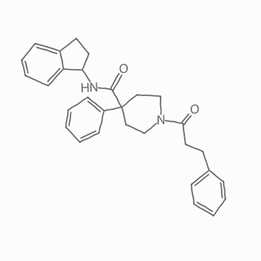 O=C(CCc1ccccc1)N1CCC(C(=O)NC2CCc3ccccc32)(c2ccccc2)CC1